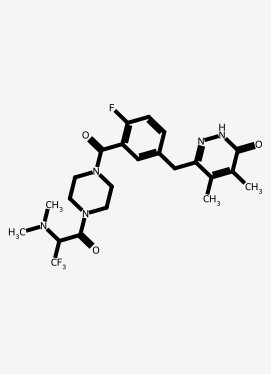 Cc1c(Cc2ccc(F)c(C(=O)N3CCN(C(=O)C(N(C)C)C(F)(F)F)CC3)c2)n[nH]c(=O)c1C